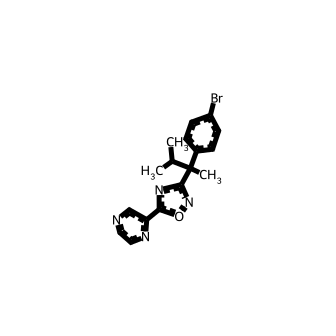 CC(C)C(C)(c1ccc(Br)cc1)c1noc(-c2cnccn2)n1